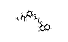 NC(=S)Nc1cccc(OCCCOc2cccc3ccccc23)c1